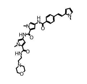 Cn1cccc1C=Cc1ccc(C(=O)Nc2cc(C(=O)Nc3cc(C(=O)NCCN4CCOCC4)n(C)c3)n(C)c2)cc1